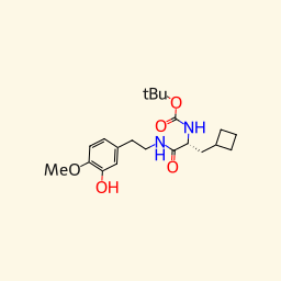 COc1ccc(CCNC(=O)[C@@H](CC2CCC2)NC(=O)OC(C)(C)C)cc1O